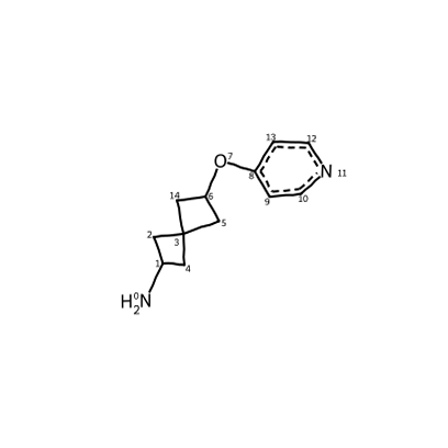 NC1CC2(C1)CC(Oc1ccncc1)C2